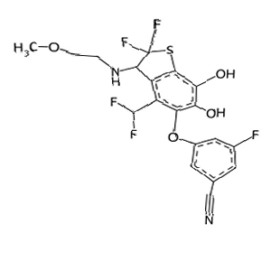 COCCNC1c2c(c(O)c(O)c(Oc3cc(F)cc(C#N)c3)c2C(F)F)SC1(F)F